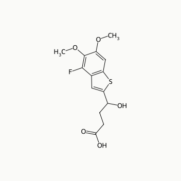 COc1cc2sc(C(O)CCC(=O)O)cc2c(F)c1OC